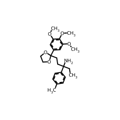 CCC(N)(CCC1(c2cc(OC)c(OC)c(OC)c2)OCCO1)c1ccc(C)cc1